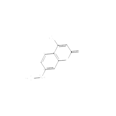 O=c1cc(C(F)(F)F)c2ccc(NS(=O)(=O)O)cc2o1